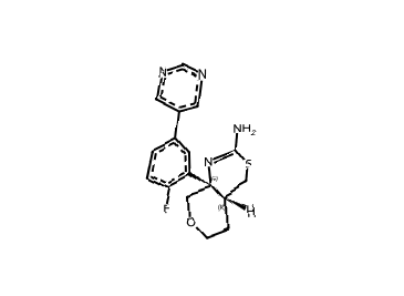 NC1=N[C@@]2(c3cc(-c4cncnc4)ccc3F)COCC[C@H]2CS1